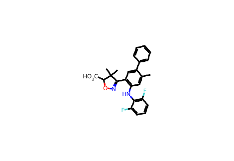 Cc1cc(Nc2c(F)cccc2F)c(C2=NOC(C(=O)O)C2(C)C)cc1-c1ccccc1